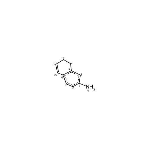 Nc1ccc2c(c1)CCC=C2